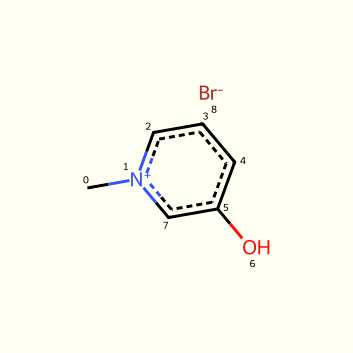 C[n+]1cccc(O)c1.[Br-]